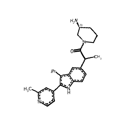 Cc1cc(-c2[nH]c3ccc(C(C)C(=O)N4CCC[C@H](N)C4)cc3c2C(C)C)ccn1